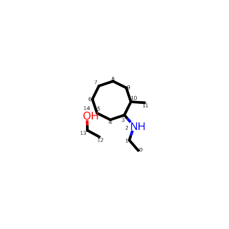 CCNC1CCCCCCC1C.CCO